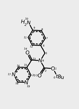 CC(C)(C)OC(=O)N(Cc1ccc(N)cc1)C(=O)c1cncnc1